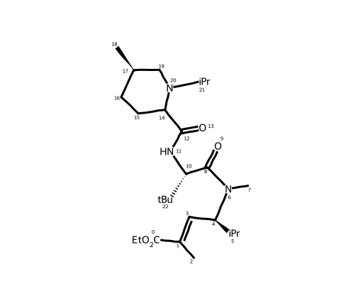 CCOC(=O)/C(C)=C/[C@H](C(C)C)N(C)C(=O)[C@@H](NC(=O)C1CC[C@@H](C)CN1C(C)C)C(C)(C)C